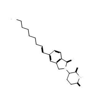 O=CCCCCCC/C=C/c1ccc2c(c1)CN(C1CCC(=O)NC1=O)C2=O